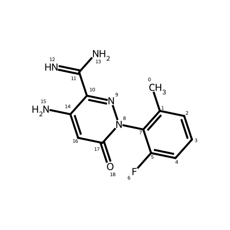 Cc1cccc(F)c1-n1nc(C(=N)N)c(N)cc1=O